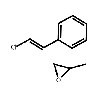 CC1CO1.ClC=Cc1ccccc1